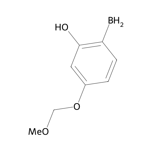 Bc1ccc(OCOC)cc1O